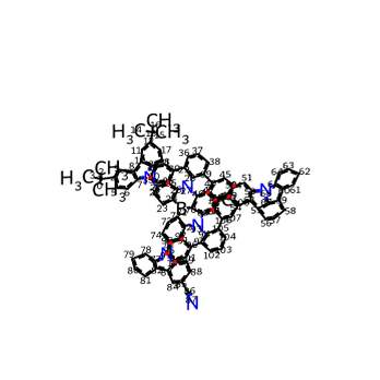 CC(C)(C)c1ccc2c(c1)c1cc(C(C)(C)C)ccc1n2-c1ccc2c(c1)N(c1c(-c3ccccc3)cccc1-c1ccccc1)c1cc(-c3ccc4c(c3)c3cccc5c6ccccc6n4c53)cc3c1B2c1ccc(-n2c4ccccc4c4cc(C#N)ccc42)cc1N3c1c(-c2ccccc2)cccc1-c1ccccc1